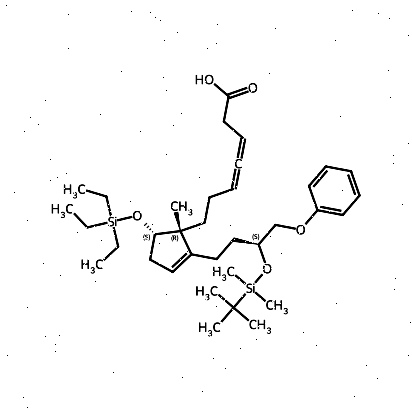 CC[Si](CC)(CC)O[C@H]1CC=C(CC[C@@H](COc2ccccc2)O[Si](C)(C)C(C)(C)C)[C@@]1(C)CCC=C=CCC(=O)O